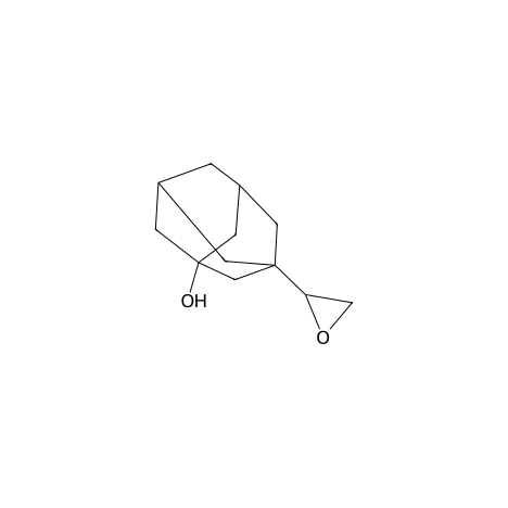 OC12CC3CC(C1)CC(C1CO1)(C3)C2